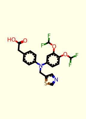 O=C(O)Cc1ccc(N(Cc2cncs2)c2ccc(OC(F)F)c(OC(F)F)c2)cc1